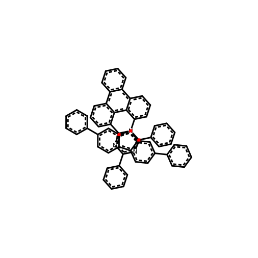 c1ccc(-c2ccc3c4ccc(-c5ccccc5)cc4n(-c4cccc5c6ccccc6c6cccc(-c7nc(-c8ccccc8)nc(-c8ccccc8)n7)c6c45)c3c2)cc1